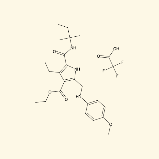 CCOC(=O)c1c(CNc2ccc(OC)cc2)[nH]c(C(=O)NC(C)(C)CC)c1CC.O=C(O)C(F)(F)F